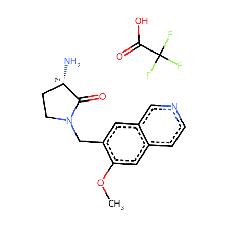 COc1cc2ccncc2cc1CN1CC[C@H](N)C1=O.O=C(O)C(F)(F)F